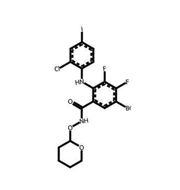 O=C(NOC1CCCCO1)c1cc(Br)c(F)c(F)c1Nc1ccc(I)cc1Cl